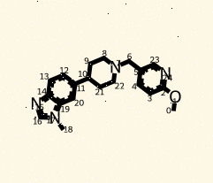 COc1ccc(CN2CCC(c3ccc4n[c]n(C)c4c3)CC2)cn1